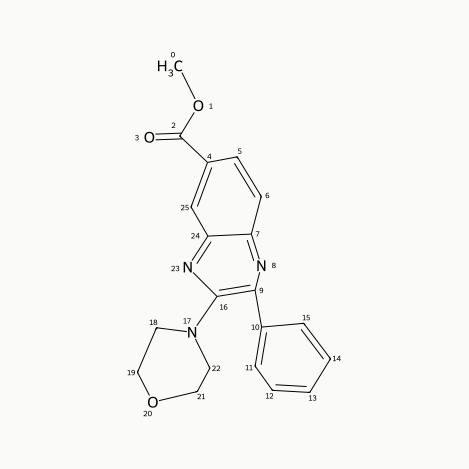 COC(=O)c1ccc2nc(-c3ccccc3)c(N3CCOCC3)nc2c1